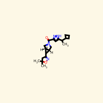 CC(c1cc(C(=O)N2C[C@@H]3C(C4=NOC(C)(C)C4)[C@@H]3C2)n[nH]1)C1CCC1